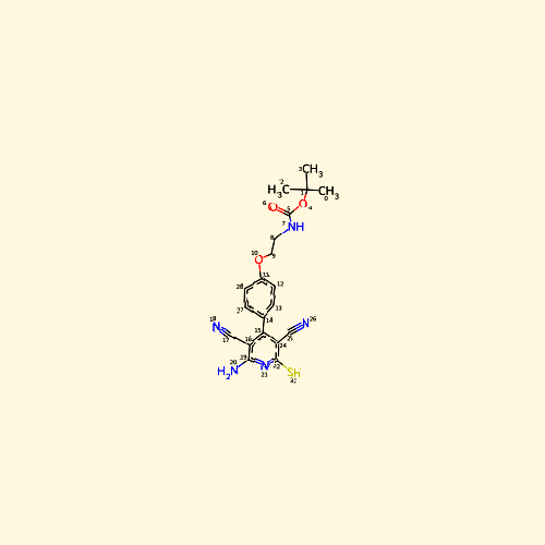 CC(C)(C)OC(=O)NCCOc1ccc(-c2c(C#N)c(N)nc(S)c2C#N)cc1